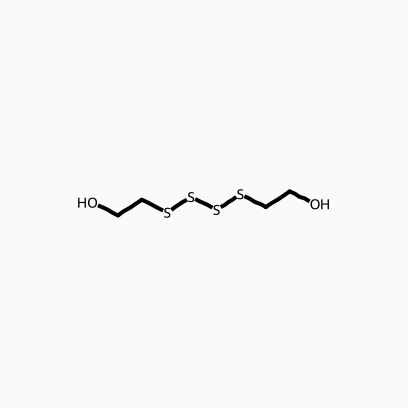 OCCSSSSCCO